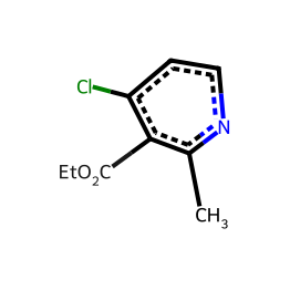 CCOC(=O)c1c(Cl)ccnc1C